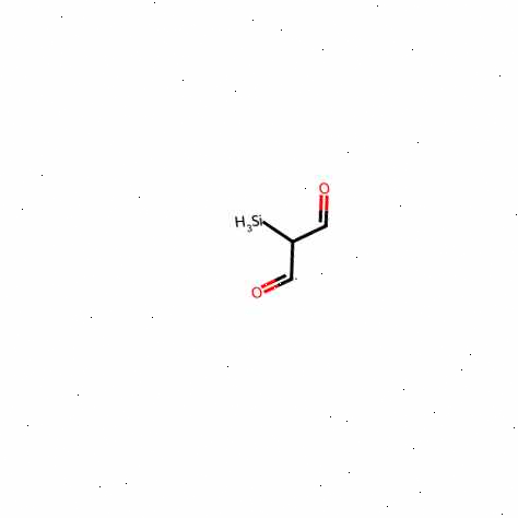 O=[C]C([SiH3])C=O